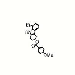 CCc1cccc2c3c([nH]c12)CCC(OC(=O)c1ccc(OC)cc1)C3